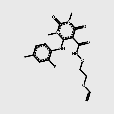 C=COCCONC(=O)c1c(Nc2ccc(I)cc2F)n(C)c(=O)n(C)c1=O